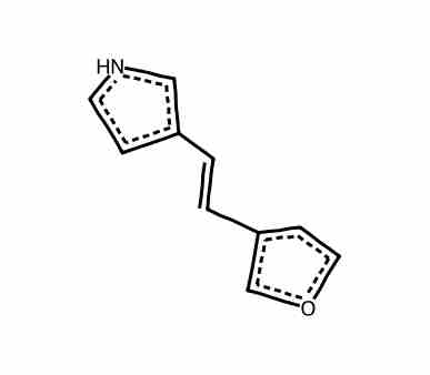 C(=Cc1ccoc1)c1cc[nH]c1